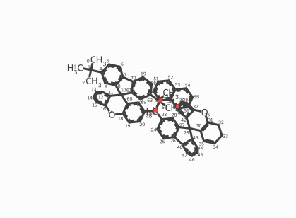 CC(C)(C)c1ccc2c(c1)C1(c3ccccc3Oc3ccc(N(c4ccc5c(c4)C4(C6=C(CCC=C6)Oc6ccccc64)c4ccccc4-5)c4cccc5ccccc45)cc31)c1cc(C(C)(C)C)ccc1-2